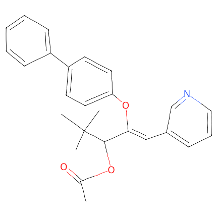 CC(=O)OC(C(=Cc1cccnc1)Oc1ccc(-c2ccccc2)cc1)C(C)(C)C